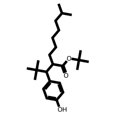 CC(C)CCCCCC(C(=O)OC(C)(C)C)C(c1ccc(O)cc1)C(C)(C)C